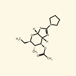 CC[C@H]1O[C@@H]2SC(N3CCCC3)=N[C@@H]2[C@@H](OC(C)=O)[C@@H]1C